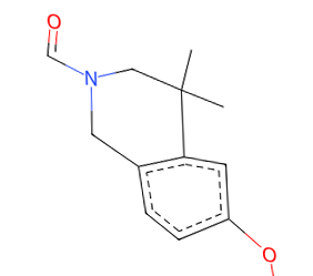 COc1ccc2c(c1)C(C)(C)CN(C=O)C2